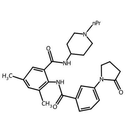 CCCN1CCC(NC(=O)c2cc(C)cc(C)c2NC(=O)c2cccc(N3CCCC3=O)c2)CC1